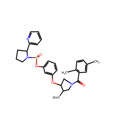 COC1CN(C(=O)c2cc(C)ccc2C)CC1Oc1cccc(OS(=O)N2CCCC2c2ccccn2)c1